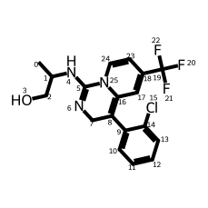 CC(CO)NC1=NCC(c2ccccc2Cl)=C2C=C(C(F)(F)F)C=CN12